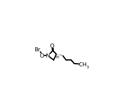 CCCCC[C@@H]1CN(OBr)C1=O